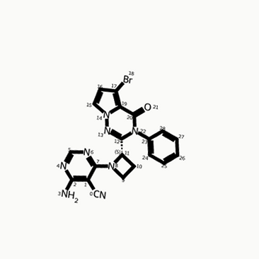 N#Cc1c(N)ncnc1N1CC[C@H]1c1nn2ccc(Br)c2c(=O)n1-c1ccccc1